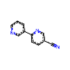 N#Cc1ccc(-c2cccnc2)nc1